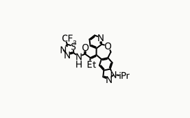 CC/C(C(=O)Nc1nnc(C(F)(F)F)s1)=C1\c2cc3cnn(C(C)C)c3cc2COc2ncccc21